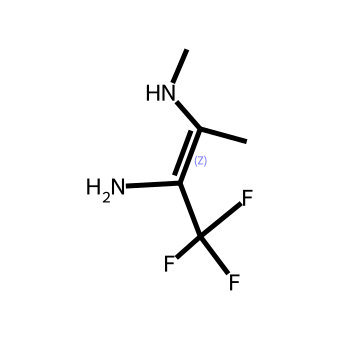 CN/C(C)=C(\N)C(F)(F)F